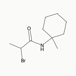 CC(Br)C(=O)NC1(C)CCCCC1